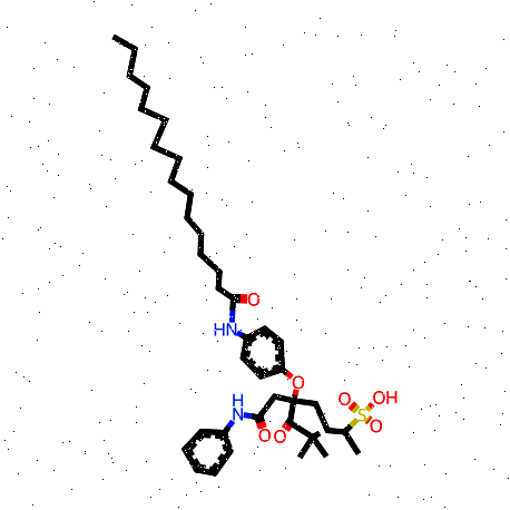 CCCCCCCCCCCCCCCC(=O)Nc1ccc(OC(CCC(C)S(=O)(=O)O)(CC(=O)Nc2ccccc2)C(=O)C(C)(C)C)cc1